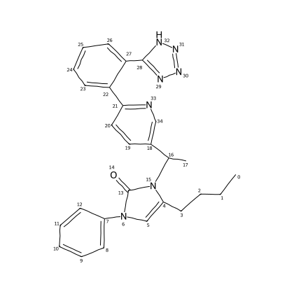 CCCCc1cn(-c2ccccc2)c(=O)n1C(C)c1ccc(-c2ccccc2-c2nnn[nH]2)nc1